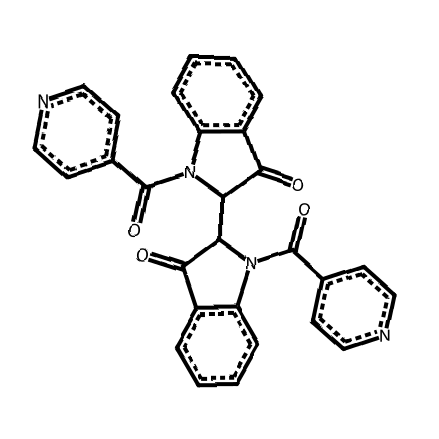 O=C1c2ccccc2N(C(=O)c2ccncc2)C1C1C(=O)c2ccccc2N1C(=O)c1ccncc1